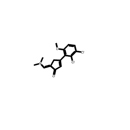 COc1ccc(Cl)c(Cl)c1C1=CC(=O)C(=CN(C)C)C1